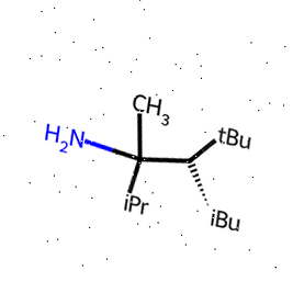 CC[C@@H](C)C(C(C)(C)C)C(C)(N)C(C)C